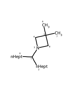 CCCCCCCC(CCCCCCC)N1CC(C)(C)C1